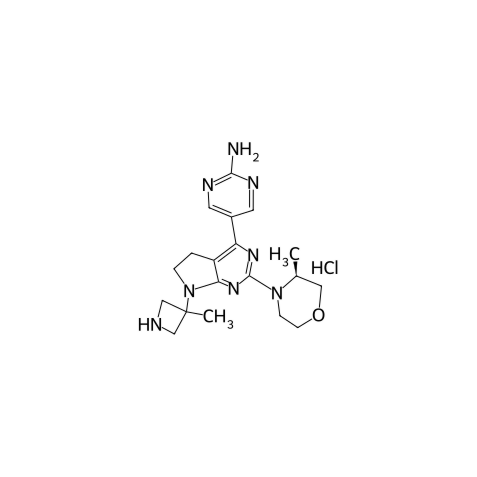 C[C@H]1COCCN1c1nc(-c2cnc(N)nc2)c2c(n1)N(C1(C)CNC1)CC2.Cl